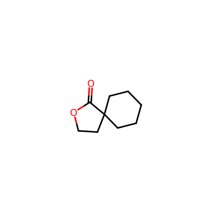 O=C1OCCC12CCCCC2